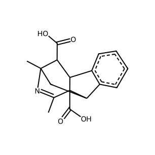 CC1=NC2(C)CC3c4ccccc4C(C2C(=O)O)C13C(=O)O